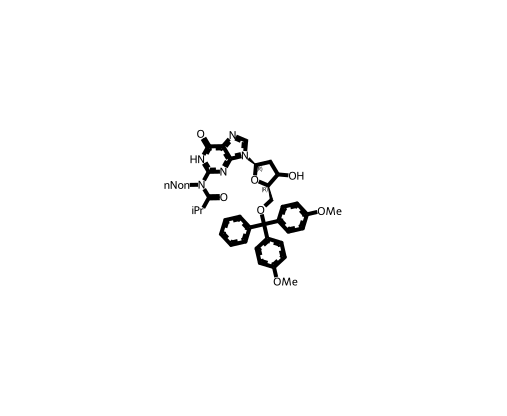 CCCCCCCCCN(C(=O)C(C)C)c1nc2c(ncn2[C@H]2CC(O)[C@@H](COC(c3ccccc3)(c3ccc(OC)cc3)c3ccc(OC)cc3)O2)c(=O)[nH]1